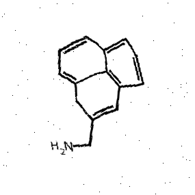 NCC1=Cc2cccc3cccc(c23)C1